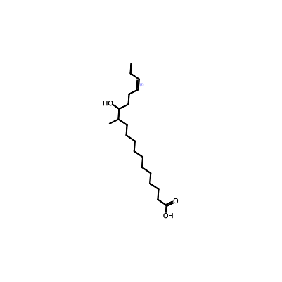 CC/C=C\CCC(O)C(C)CCCCCCCCCCC(=O)O